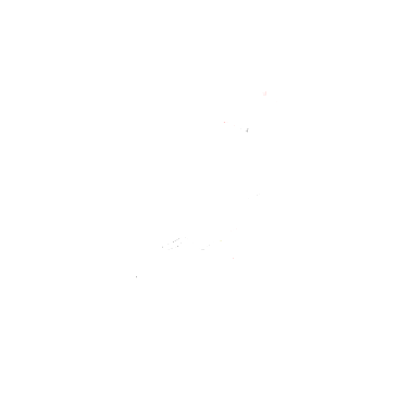 BCC(=O)c1ccc(OS(=O)(=O)c2ccc(C(F)(F)F)cc2)cc1